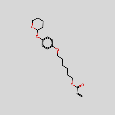 C=CC(=O)OCCCCCCOc1ccc(OC2CCCCO2)cc1